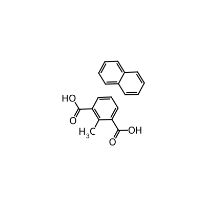 Cc1c(C(=O)O)cccc1C(=O)O.c1ccc2ccccc2c1